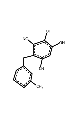 Cc1cccc(Cc2c(C#N)cc(O)c(O)c2C#N)c1